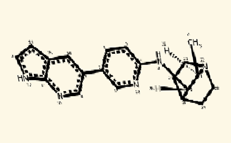 C[C@@H]1[C@@H](Nc2ccc(-c3cnc4[nH]ccc4c3)cn2)C2CCN1CC2